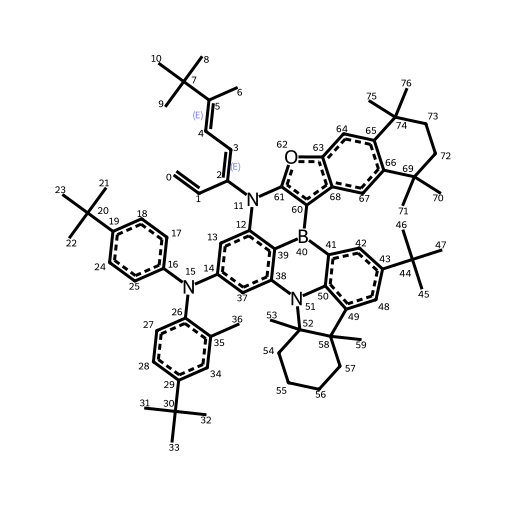 C=C/C(=C\C=C(/C)C(C)(C)C)N1c2cc(N(c3ccc(C(C)(C)C)cc3)c3ccc(C(C)(C)C)cc3C)cc3c2B(c2cc(C(C)(C)C)cc4c2N3C2(C)CCCCC42C)c2c1oc1cc3c(cc21)C(C)(C)CCC3(C)C